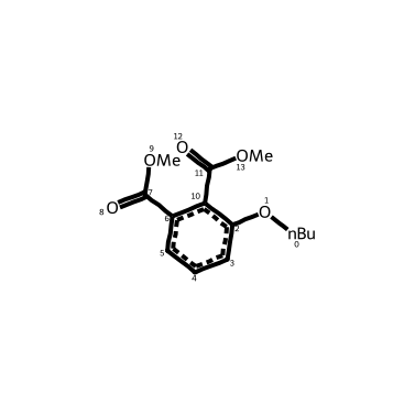 CCCCOc1cccc(C(=O)OC)c1C(=O)OC